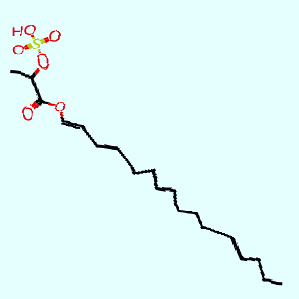 CCCCCCCCCCCCCCC=COC(=O)C(C)OS(=O)(=O)O